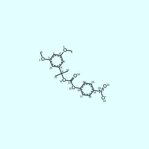 COc1cc(OC)cc(C(C)(C)OC(=O)Oc2ccc([N+](=O)[O-])cc2)c1